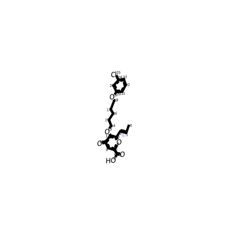 C/C=C/c1oc(C(=O)O)cc(=O)c1OCCCCCOc1cccc(Cl)c1